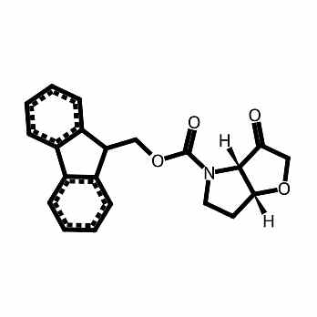 O=C1CO[C@@H]2CCN(C(=O)OCC3c4ccccc4-c4ccccc43)[C@H]12